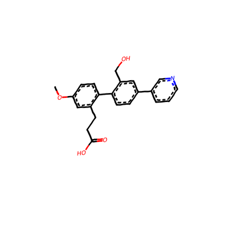 COc1ccc(-c2ccc(-c3cccnc3)cc2CO)c(CCC(=O)O)c1